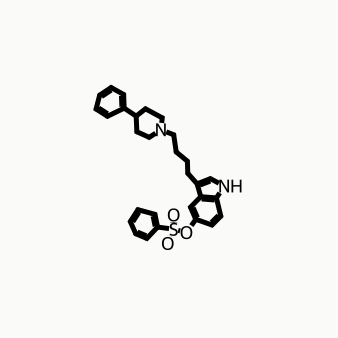 O=S(=O)(Oc1ccc2[nH]cc(CCCCN3CCC(c4ccccc4)CC3)c2c1)c1ccccc1